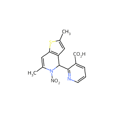 CC1=Cc2sc(C)cc2C(c2ncccc2C(=O)O)N1[N+](=O)[O-]